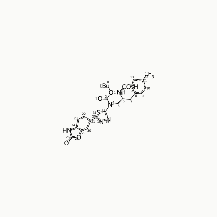 CC(C)(C)OC(=O)N(C[C@H](Cc1ccc(C(F)(F)F)cc1)NC(=O)O)c1nnc(-c2ccc3[nH]c(=O)oc3c2)s1